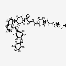 O=C(O)NCCN1CCN(CC=CC(=O)N2CCC(n3ccc4ncnc(Oc5ccc(Oc6ccccc6)cc5)c43)CC2)CC1